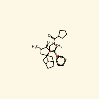 CC(C)N1C(=O)N(C)CC12CC1CCC(C2)N1C[C@H]1CN(C(=O)C2CCCC2)C[C@@H]1c1ccccc1